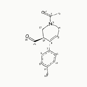 CC(=O)N1CC=C(c2ccc(F)cc2)[C@@H](C=O)C1